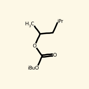 CC(C)COC(=O)OC(C)CC(C)C